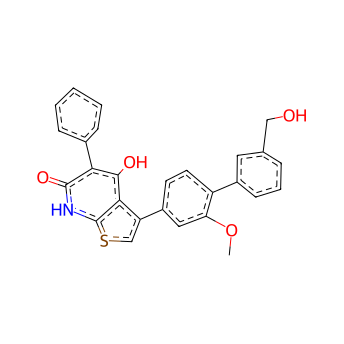 COc1cc(-c2csc3[nH]c(=O)c(-c4ccccc4)c(O)c23)ccc1-c1cccc(CO)c1